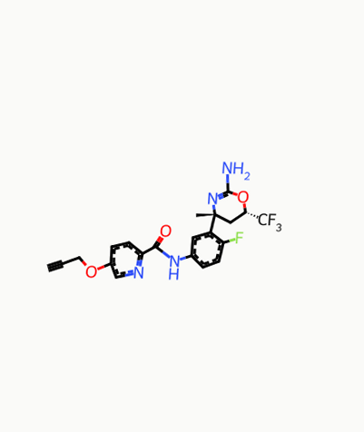 C#CCOc1ccc(C(=O)Nc2ccc(F)c([C@@]3(C)C[C@@H](C(F)(F)F)OC(N)=N3)c2)nc1